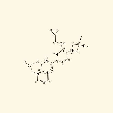 CC(C)CC(NC(=O)c1ccc(N2CC(F)(F)C2)c(OCC2CC2)n1)c1ncccn1